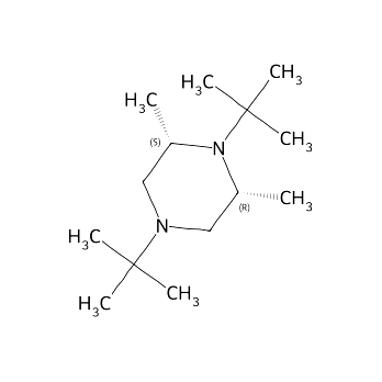 C[C@@H]1CN(C(C)(C)C)C[C@H](C)N1C(C)(C)C